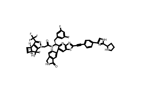 O=C(Cn1nc(C(F)(F)F)c2c1C(F)(F)[C@@H]1C=C[C@H]21)N[C@@H](Cc1cc(F)cc(F)c1)c1nc2nc(C#Cc3ccc(-c4c[nH]c(C5CCCN5)n4)cc3)sc2cc1-c1ccc2c(c1)C(=O)NC2